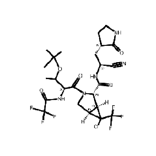 CC(OC(C)(C)C)[C@H](NC(=O)C(F)(F)F)C(=O)N1C[C@H]2[C@@H]([C@H]1C(=O)N[C@H](C#N)C[C@@H]1CCNC1=O)C2(Cl)C(F)(F)F